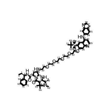 CC[C@@H](NC(=O)[C@@H]1C[C@H](NCCOCCOCCOCCOCCOc2cc3nccc(Nc4ccc5scnc5c4)c3cc2S(=O)(=O)C(C)(C)C)CN1C(=O)[C@H](C(N)[C@H](C)NC)C(C)(C)C)c1ccccc1